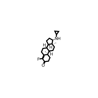 C[C@]12CC[C@H]3[C@@H](CCC4=C(F)C(=O)CC[C@@]43C)[C@@H]1CC[C@@H]2NC1CC1